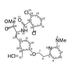 CNc1cccc(CCOc2ccc(C[C@H](NC(=O)c3c(Cl)cccc3Cl)C(=O)OC)cc2C)n1.Cl